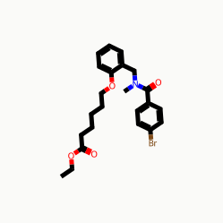 CCOC(=O)CCCCCOc1ccccc1CN(C)C(=O)c1ccc(Br)cc1